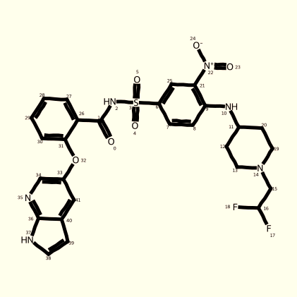 O=C(NS(=O)(=O)c1ccc(NC2CCN(CC(F)F)CC2)c([N+](=O)[O-])c1)c1ccccc1Oc1cnc2[nH]ccc2c1